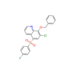 O=S(=O)(c1ccc(F)cc1)c1cc(Cl)c(OCc2ccccc2)c2ncccc12